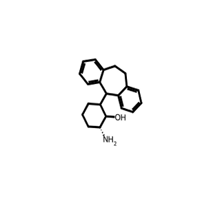 N[C@@H]1CCCC(C2c3ccccc3CCc3ccccc32)C1O